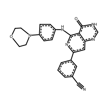 N#Cc1cccc(-c2cc3nc[nH]c(=O)c3c(Nc3ccc(N4CCOCC4)cc3)n2)c1